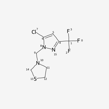 FC(F)(F)c1cc(Cl)n(CN2CCSC2)n1